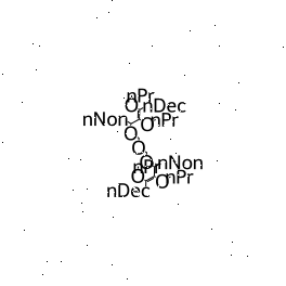 CCCCCCCCCCC(OCCC)=C(OCCC)C(CCCCCCCCC)OCOCOC(CCCCCCCCC)C(OCCC)=C(CCCCCCCCCC)OCCC